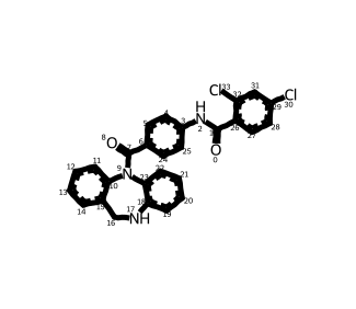 O=C(Nc1ccc(C(=O)N2c3ccccc3CNc3ccccc32)cc1)c1ccc(Cl)cc1Cl